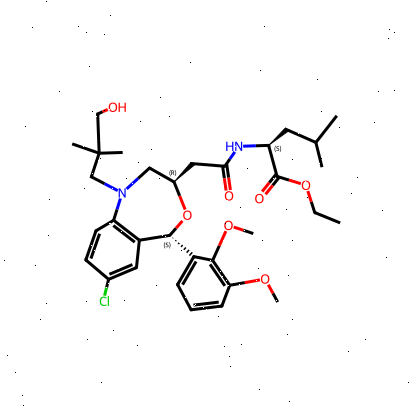 CCOC(=O)[C@H](CC(C)C)NC(=O)C[C@@H]1CN(CC(C)(C)CO)c2ccc(Cl)cc2[C@@H](c2cccc(OC)c2OC)O1